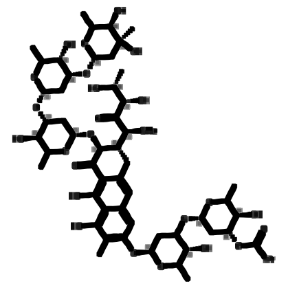 CCCC(=O)O[C@@H]1C[C@H](OC2C[C@H](Oc3cc4cc5c(c(O)c4c(O)c3C)C(=O)[C@@H](O[C@H]3C[C@@H](O[C@H]4C[C@@H](O[C@H]6C[C@](C)(O)[C@H](O)C(C)O6)[C@@H](O)C(C)O4)[C@H](O)C(C)O3)[C@H]([C@H](OC)C(=O)[C@@H](O)[C@@H](C)O)C5)OC(C)[C@H]2O)OC(C)[C@H]1O